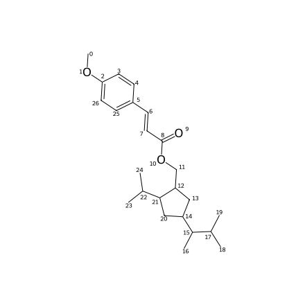 COc1ccc(/C=C/C(=O)OCC2CC(C(C)C(C)C)CC2C(C)C)cc1